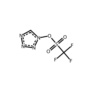 O=S(=O)(On1cnnn1)C(F)(F)F